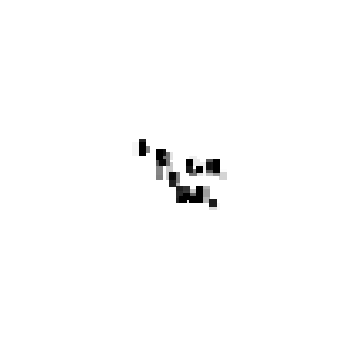 [BaH2].[CaH2].[SrH2].[Tl]